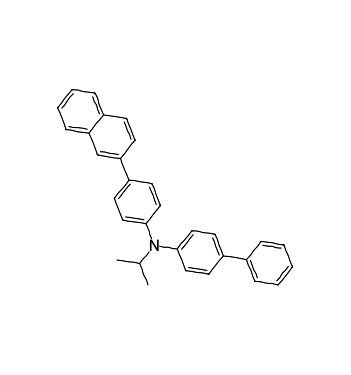 CC(C)N(c1ccc(-c2ccccc2)cc1)c1ccc(-c2ccc3ccccc3c2)cc1